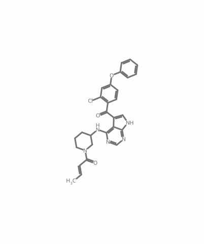 CC=CC(=O)N1CCCC(Nc2ncnc3[nH]cc(C(=O)c4ccc(Oc5ccccc5)cc4Cl)c23)C1